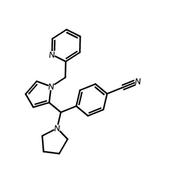 N#Cc1ccc(C(c2cccn2Cc2ccccn2)N2CCCC2)cc1